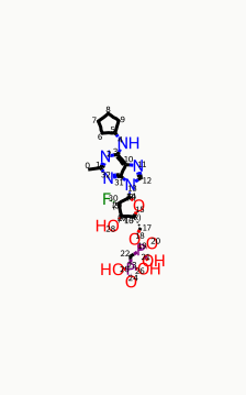 Cc1nc(NC2CCCC2)c2ncn([C@@H]3O[C@H](COP(=O)(O)CP(=O)(O)O)[C@@H](O)[C@@H]3F)c2n1